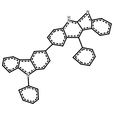 c1ccc(-c2c3c4ccccc4nc-3[nH]c3ccc(-c4ccc5c(c4)c4ccccc4n5-c4ccccc4)cc23)cc1